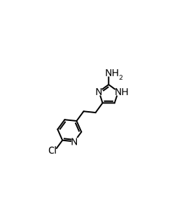 Nc1nc(CCc2ccc(Cl)nc2)c[nH]1